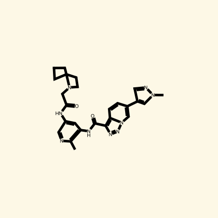 Cc1ncc(NC(=O)CN2CCC23CCC3)cc1NC(=O)c1nnn2cc(-c3cnn(C)c3)ccc12